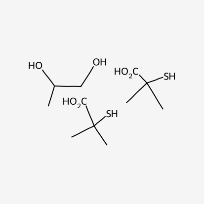 CC(C)(S)C(=O)O.CC(C)(S)C(=O)O.CC(O)CO